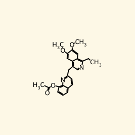 CCc1ncc(Cc2ccc3cccc(OC(C)=O)c3n2)c2cc(OC)c(OC)cc12